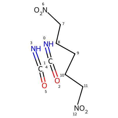 N=C=O.N=C=O.O=[N+]([O-])CCCCC[N+](=O)[O-]